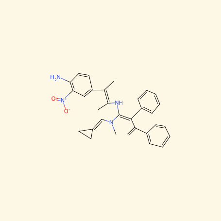 C=C(/C(=C(/N/C(C)=C(\C)c1ccc(N)c([N+](=O)[O-])c1)N(C)C=C1CC1)c1ccccc1)c1ccccc1